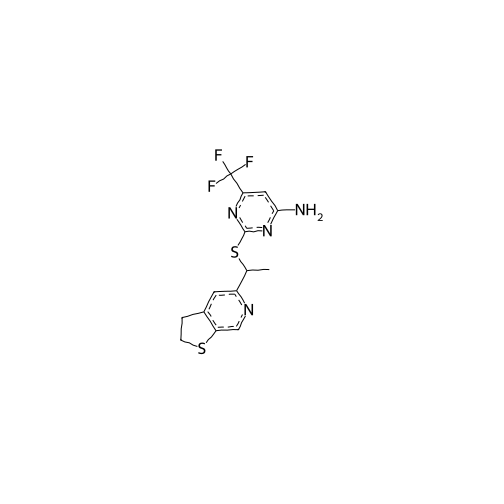 CC(Sc1nc(N)cc(C(F)(F)F)n1)c1cc2c(cn1)SCC2